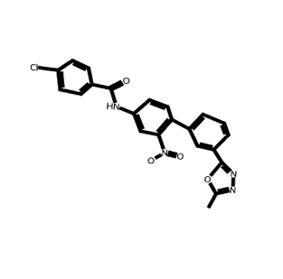 Cc1nnc(-c2cccc(-c3ccc(NC(=O)c4ccc(Cl)cc4)cc3[N+](=O)[O-])c2)o1